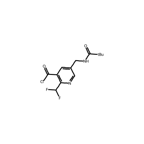 CC(C)(C)C(=O)NCc1cnc(C(F)F)c(C(=O)Cl)c1